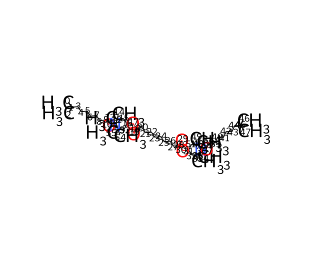 CC(C)CCCCCCCON1C(C)(C)CC(OC(=O)CCCCCCCCC(=O)OC2CC(C)(C)N(OCCCCCCCC(C)C)C(C)(C)C2)CC1(C)C